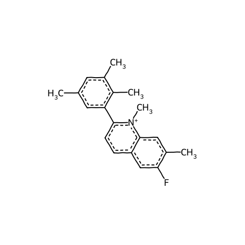 Cc1cc(C)c(C)c(-c2ccc3cc(F)c(C)cc3[n+]2C)c1